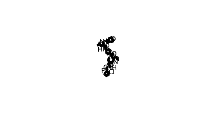 Cc1cnc(N2CC3(CCOCC3)C2)c(C(=O)Nc2ccc(C(=O)N3CCc4cc(NC(=O)c5c(F)cccc5Cl)sc4-c4ncccc43)cc2)c1